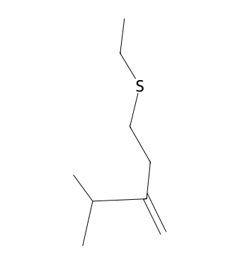 C=C(CCSCC)C(C)C